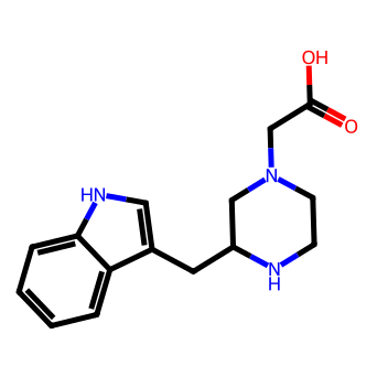 O=C(O)CN1CCNC(Cc2c[nH]c3ccccc23)C1